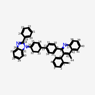 Cc1ccccc1-c1c(-c2ccc(C3=CC=C(n4c(-c5ccccc5)nc5ccccc54)CC3)cc2)nc2ccccc2c1C